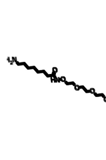 COCCOCCOCCONC(=O)CCCCCCCN